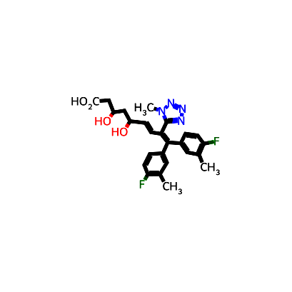 Cc1cc(C(=C(C=CC(O)CC(O)CC(=O)O)c2nnnn2C)c2ccc(F)c(C)c2)ccc1F